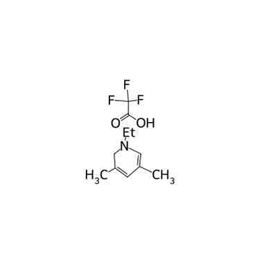 CCN1C=C(C)C=C(C)C1.O=C(O)C(F)(F)F